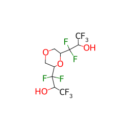 OC(C(F)(F)F)C(F)(F)C1COCC(C(F)(F)C(O)C(F)(F)F)O1